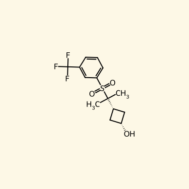 CC(C)([C@H]1C[C@@H](O)C1)S(=O)(=O)c1cccc(C(F)(F)F)c1